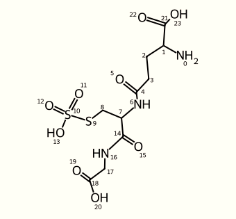 NC(CCC(=O)NC(CSS(=O)(=O)O)C(=O)NCC(=O)O)C(=O)O